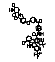 CC(C)(C)C[C@@H]1N[C@@H](C(=O)NC23CCC(C(=O)N4CCC[C@H](Oc5ccc6c(c5)CN(C5CCC(=O)NC5=O)C6=O)C4)(CC2)CC3)[C@H](c2cccc(Cl)c2F)[C@]12CNc1cc(C(F)(F)F)ncc12